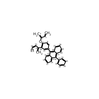 C=CC(=C)Oc1ccc(-c2c3ccccc3c(-c3ccccc3)c3ccccc23)cc1C(=C)/C=C\CC